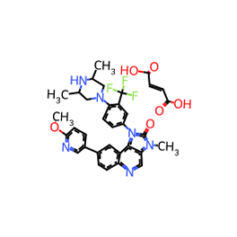 COc1ccc(-c2ccc3ncc4c(c3c2)n(-c2ccc(N3CC(C)NC(C)C3)c(C(F)(F)F)c2)c(=O)n4C)cn1.O=C(O)C=CC(=O)O